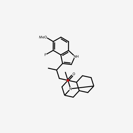 COc1ccc2[nH]cc(C(C)CC(=O)N3C4CCC5C(C)CC3CC5C4)c2c1F